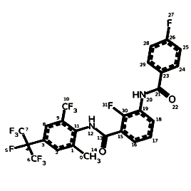 Cc1cc(C(F)(C(F)(F)F)C(F)(F)F)cc(C(F)(F)F)c1NC(=O)c1cccc(NC(=O)c2ccc(F)cc2)c1F